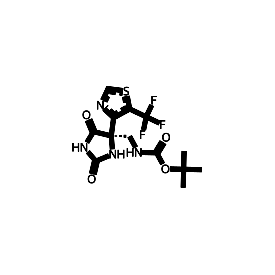 CC(C)(C)OC(=O)NC[C@]1(c2ncsc2C(F)(F)F)NC(=O)NC1=O